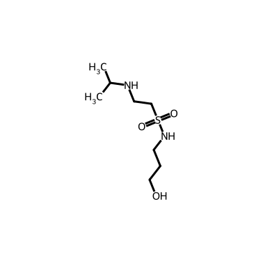 CC(C)NCCS(=O)(=O)NCCCO